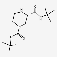 CC(C)(C)NC(=O)[C@@H]1CN(C(=O)OC(C)(C)C)CCN1